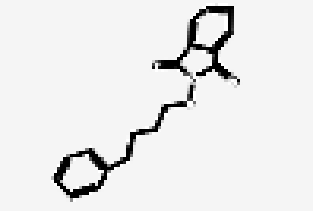 O=C1c2ccccc2C(=O)N1OCCCCc1ccccc1